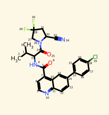 CC(C)C(NC(=O)c1ccnc2ccc(-c3ccc(Cl)cc3)cc12)C(=O)N1CC(F)(F)CC1C#N